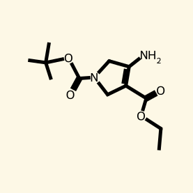 CCOC(=O)C1=C(N)CN(C(=O)OC(C)(C)C)C1